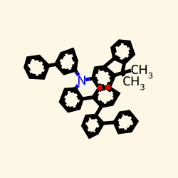 CC1(C)c2ccccc2-c2cc(N(c3cccc(-c4ccccc4)c3)c3ccccc3-c3ccccc3-c3ccccc3-c3ccccc3)ccc21